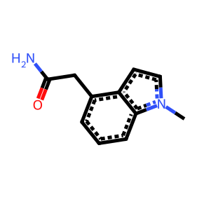 Cn1ccc2c(CC(N)=O)cccc21